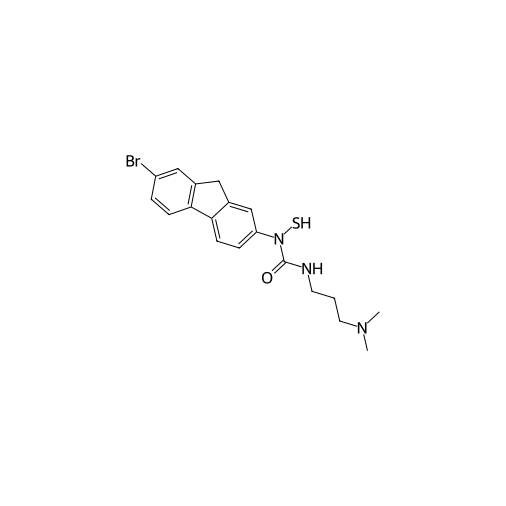 CN(C)CCCNC(=O)N(S)c1ccc2c(c1)Cc1cc(Br)ccc1-2